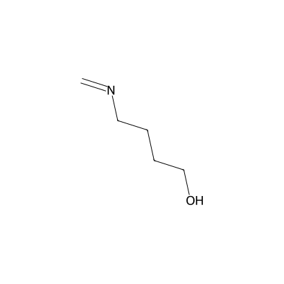 C=NCCCCO